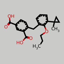 CCCOc1c(Cc2ccc(C(=O)O)cc2C(=O)O)cccc1C1(C)CC1